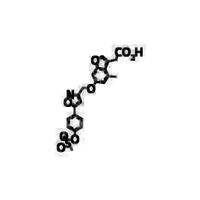 Cc1cc(OCc2cc(-c3ccc(OS(C)(=O)=O)cc3)on2)cc2occ(CC(=O)O)c12